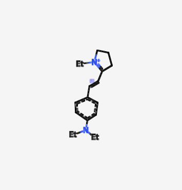 CCN(CC)c1ccc(/C=C/C2=[N+](CC)CCC2)cc1